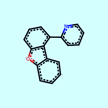 [c]1ccc2oc3cccc(-c4ccccn4)c3c2c1